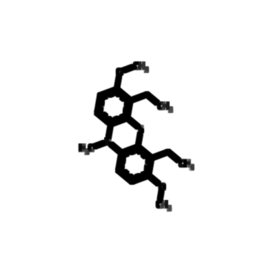 CCc1c(OC)ccc2c1Sc1c(ccc(OC)c1CC)N2C